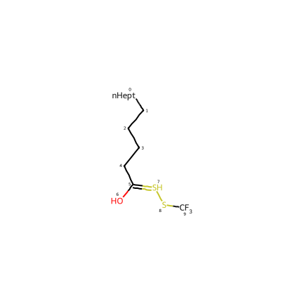 CCCCCCCCCCCC(O)=[SH]SC(F)(F)F